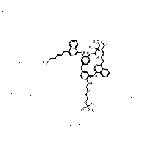 CCCCCCc1ccc(Nc2cc(Cc3ccc(NC(O)C(C)(C)CC)c(Nc4ccc(CCCCCC)c5ccccc45)c3)ccc2NCOCCOC(C)(C)C)c2ccccc12